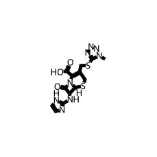 Cn1nnnc1SCC1=C(C(=O)O)N2C(=O)C(Nc3ncc[nH]3)[C@@H]2SC1